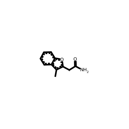 Cc1c([CH]C(N)=O)oc2ccccc12